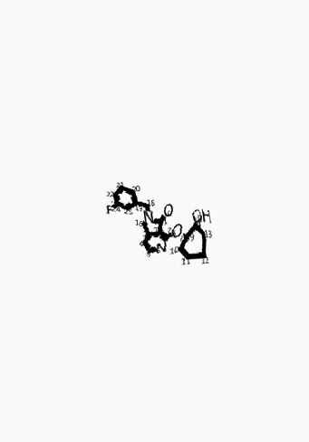 O=C1c2c(ccnc2O[C@H]2CCCC[C@@H]2O)CN1Cc1cccc(F)c1